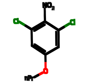 CCCOc1cc(Cl)c([N+](=O)[O-])c(Cl)c1